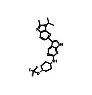 Cc1nc2ccc(-c3c[nH]c4nc(N[C@H]5CC[C@@H](OC(F)(F)F)CC5)ncc34)nc2n1C(C)C